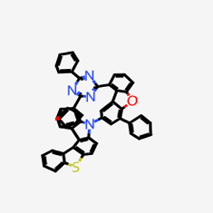 c1ccc(-c2nc(-c3ccccc3)nc(-c3cccc4oc5c(-c6ccccc6)cc(-n6c7ccccc7c7c8c(ccc76)sc6ccccc68)cc5c34)n2)cc1